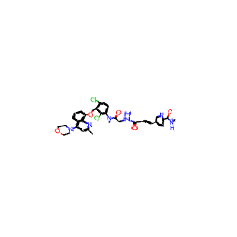 CNC(=O)c1ccc(C=CC(=O)NCC(=O)N(C)c2ccc(Cl)c(COc3cccc4c(N5CCOCC5)cc(C)nc34)c2Cl)cn1